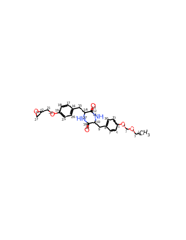 CCOCOc1ccc(CC2NC(=O)C(Cc3ccc(OCC4CO4)cc3)NC2=O)cc1